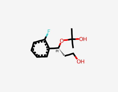 CC(C)(O)O[C@H](CCO)c1ccccc1F